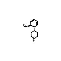 O=S=C1C=CC=CC1C1CCNCC1